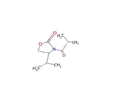 CC(C)C(=O)N1C(=O)OCC1C(C)C